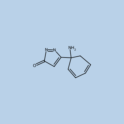 NC1(C2=CC(=O)N=N2)C=CC=CC1